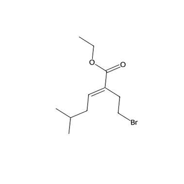 CCOC(=O)C(=CCC(C)C)CCBr